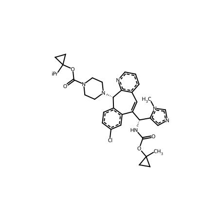 CC(C)C1(OC(=O)N2CCN([C@H]3c4ccc(Cl)cc4C([C@@H](NC(=O)OC4(C)CC4)c4cncn4C)=Cc4cccnc43)CC2)CC1